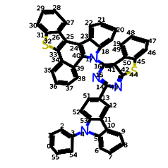 c1ccc(-n2c3ccccc3c3cc(-c4nc(-n5c6ccccc6c6c7c8ccccc8sc7c7ccccc7c65)c5c(n4)sc4ccccc45)ccc32)cc1